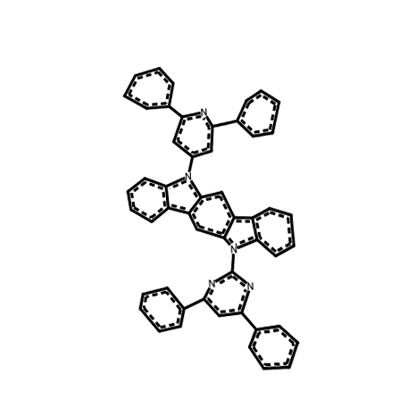 c1ccc(-c2cc(-n3c4ccccc4c4cc5c(cc43)c3ccccc3n5-c3nc(-c4ccccc4)cc(-c4ccccc4)n3)cc(-c3ccccc3)n2)cc1